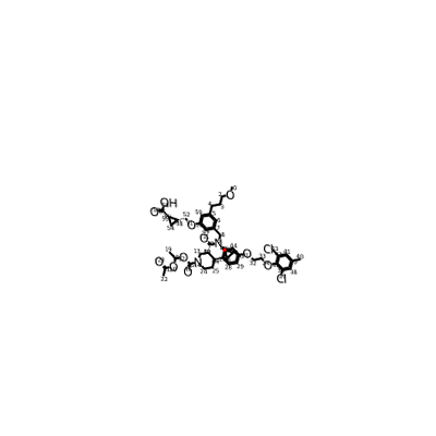 COCCCc1cc(CN(C(=O)[C@H]2CN(C(=O)OC(C)OC(C)=O)CC[C@@H]2c2ccc(OCCOc3c(Cl)cc(C)cc3Cl)cc2)C2CC2)cc(OC[C@@H]2C[C@H]2C(=O)O)c1